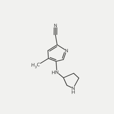 Cc1cc(C#N)ncc1NC1CCNC1